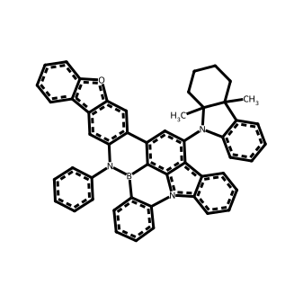 CC12CCCCC1(C)N(c1cc3c4c5c1c1ccccc1n5-c1ccccc1B4N(c1ccccc1)c1cc4c(cc1-3)oc1ccccc14)c1ccccc12